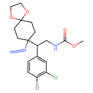 COC(=O)NCC(c1ccc(Cl)c(Cl)c1)C1(N=N)CCC2(CC1)OCCO2